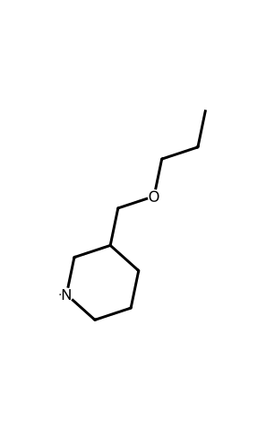 CCCOCC1CCC[N]C1